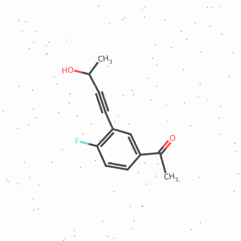 CC(=O)c1ccc(F)c(C#CC(C)O)c1